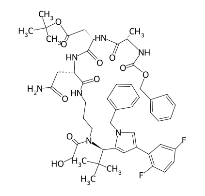 C[C@H](NC(=O)OCc1ccccc1)C(=O)N[C@@H](CC(=O)OC(C)(C)C)C(=O)N[C@@H](CC(N)=O)C(=O)NCCCN(C(=O)CO)[C@@H](c1cc(-c2cc(F)ccc2F)cn1Cc1ccccc1)C(C)(C)C